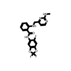 CNc1nccc(CNc2ccccc2C(=O)Nc2cc3c(cc2F)OC(F)(F)O3)n1